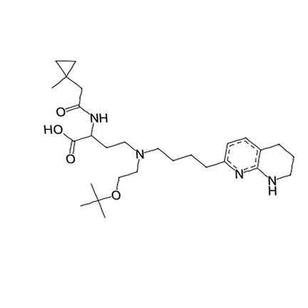 CC1(CC(=O)NC(CCN(CCCCc2ccc3c(n2)NCCC3)CCOC(C)(C)C)C(=O)O)CC1